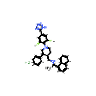 C[C@@H](NCC1CCN(c2c(F)cc(-c3nnn[nH]3)cc2F)CC1c1ccccc1)c1cccc2ccccc12.Cl